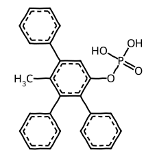 Cc1c(-c2ccccc2)cc(OP(=O)(O)O)c(-c2ccccc2)c1-c1ccccc1